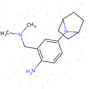 CN(C)Cc1cc(N2C3CCC2CC3)ccc1N